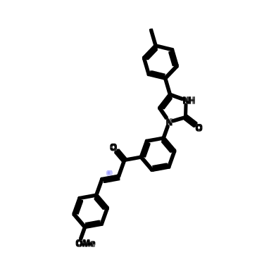 COc1ccc(/C=C/C(=O)c2cccc(-n3cc(-c4ccc(C)cc4)[nH]c3=O)c2)cc1